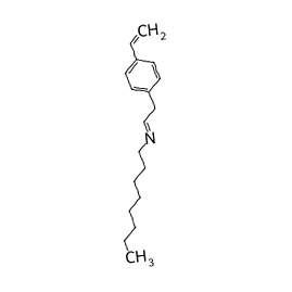 C=Cc1ccc(CC=NCCCCCCCC)cc1